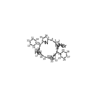 Brc1cc2cc3nc(c(-c4ccccc4)c4ccc(cc5nc(c(-c6ccccc6)c1[nH]2)C=C5)[nH]4)C=C3